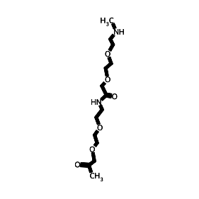 CNCCOCCOCC(=O)NCCOCCOCC(C)=O